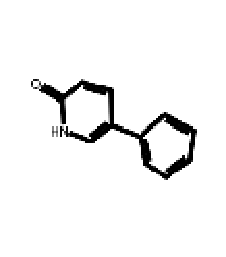 O=c1ccc(-c2ccccc2)c[nH]1